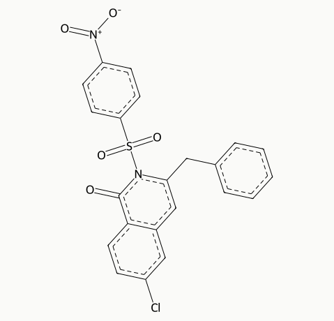 O=c1c2ccc(Cl)cc2cc(Cc2ccccc2)n1S(=O)(=O)c1ccc([N+](=O)[O-])cc1